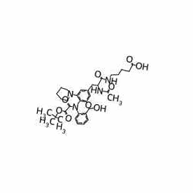 CC(=O)NC(Cc1ccc(N(C(=O)C(=O)OC(C)(C)C)c2ccccc2C(=O)O)c(N2CCCCC2)c1)C(=O)NCCCCC(=O)O